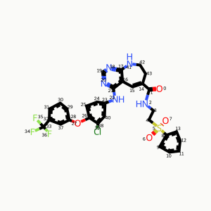 O=C(NCCS(=O)(=O)c1ccccc1)C1=Cc2c(ncnc2Nc2ccc(Oc3cccc(C(F)(F)F)c3)c(Cl)c2)NCC1